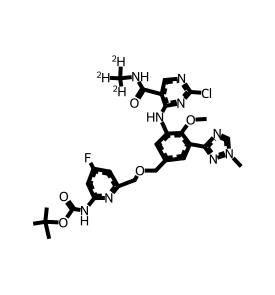 [2H]C([2H])([2H])NC(=O)c1cnc(Cl)nc1Nc1cc(COCc2cc(F)cc(NC(=O)OC(C)(C)C)n2)cc(-c2ncn(C)n2)c1OC